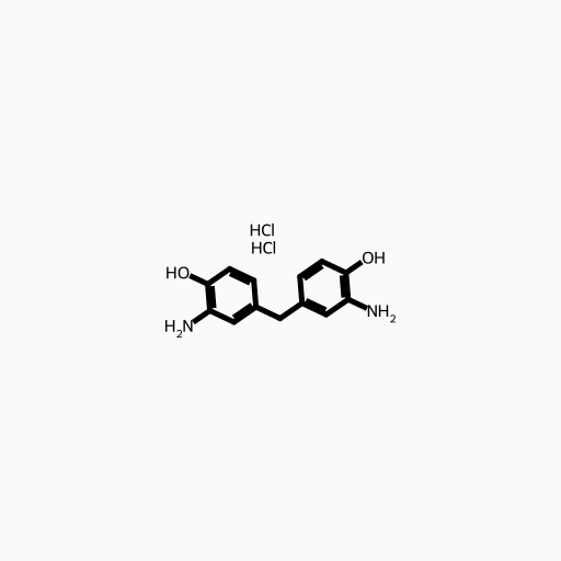 Cl.Cl.Nc1cc(Cc2ccc(O)c(N)c2)ccc1O